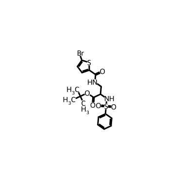 CC(C)(C)OC(=O)C(CNC(=O)c1ccc(Br)s1)NS(=O)(=O)c1ccccc1